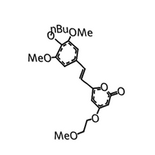 CCCCOc1c(OC)cc(/C=C/c2cc(OCCOC)cc(=O)o2)cc1OC